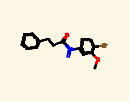 COc1cc(NC(=O)CCc2ccccc2)ccc1Br